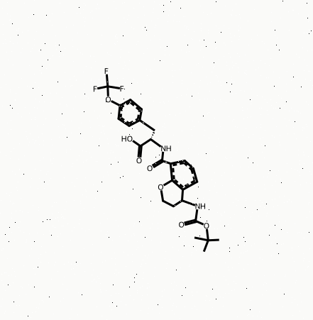 CC(C)(C)OC(=O)NC1CCOc2c(C(=O)N[C@@H](Cc3ccc(OC(F)(F)F)cc3)C(=O)O)cccc21